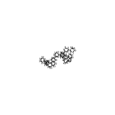 c1ccc(-c2cccc(-c3nc(-c4cccc(-c5ccc6c(ccc7ccc8nn(-c9ccccc9)nc8c76)c5)c4)nc(-c4cccc5oc6ccccc6c45)n3)c2)cc1